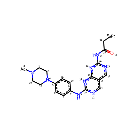 CC(=O)N1CCN(c2ccc(Nc3ncc4cnc(NC(=O)CC(C)C)nc4n3)cc2)CC1